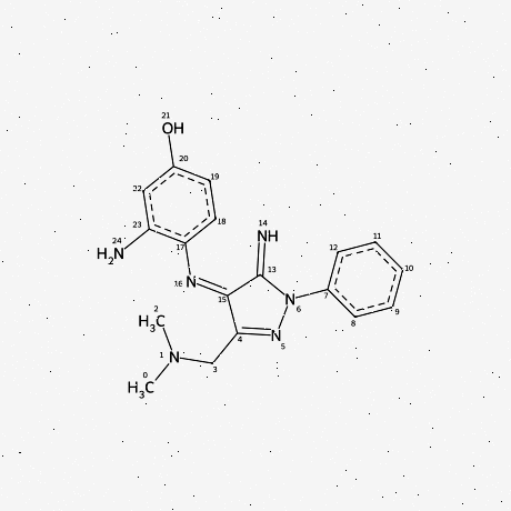 CN(C)CC1=NN(c2ccccc2)C(=N)C1=Nc1ccc(O)cc1N